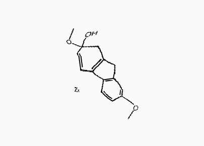 COc1ccc2c(c1)CC1=C2C=CC(O)(OC)C1.[Zr]